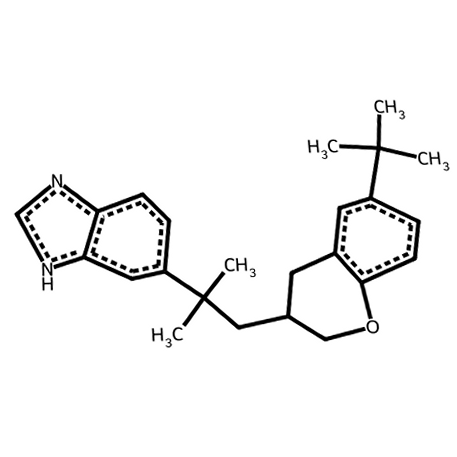 CC(C)(C)c1ccc2c(c1)CC(CC(C)(C)c1ccc3nc[nH]c3c1)CO2